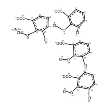 O=C([O-])c1cccc(Cl)c1OCl.O=C([O-])c1cccc(Cl)c1OCl.O=C([O-])c1cccc(Cl)c1OCl.O=C([O-])c1cccc(Cl)c1OCl.[Zr+4]